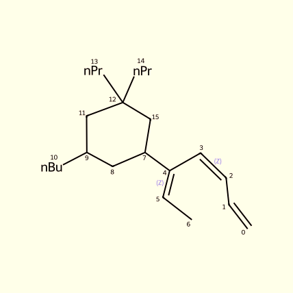 C=C/C=C\C(=C/C)C1CC(CCCC)CC(CCC)(CCC)C1